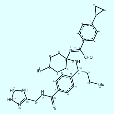 CC(C)C1CCC(/N=C(\C=O)c2ccc(C3CC3)cc2)(N[C@H](CCC(C)(C)C)c2ccc(C(=O)NCC3=NNNN3)cc2)CC1